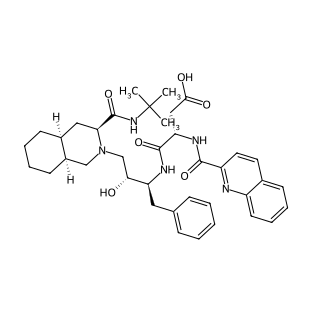 CC(C)(C)NC(=O)[C@@H]1C[C@@H]2CCCC[C@@H]2CN1C[C@@H](O)[C@H](Cc1ccccc1)NC(=O)[C@H](CC(=O)O)NC(=O)c1ccc2ccccc2n1